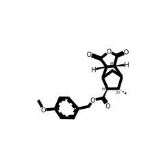 COc1ccc(COC(=O)[C@H]2C3CC([C@H]4C(=O)OC(=O)[C@@H]34)[C@@H]2C)cc1